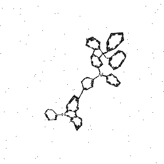 C1=CCCC(n2c3ccccc3c3cc(C4=CC=C(N(c5ccccc5)c5ccc6c(c5)C(c5ccccc5)(c5ccccc5)c5ccccc5-6)CC4)ccc32)=C1